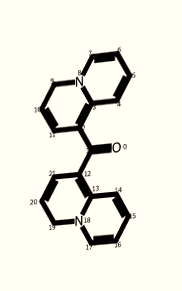 O=C(C1=C2C=CC=CN2CC=C1)C1=C2C=CC=CN2CC=C1